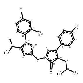 C[C@H](O)c1nc(Cn2nc(-c3ccc(Cl)cc3)n(C[C@H](O)C(F)(F)F)c2=O)nn1-c1ccc(Cl)cc1C(F)(F)F